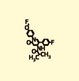 CC(C)C(=O)Nc1cc(=O)n(-c2ccc(OCF)cc2)cc1-c1ccc(F)cc1